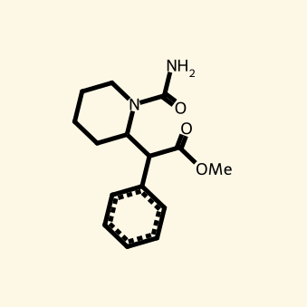 COC(=O)C(c1ccccc1)C1CCCCN1C(N)=O